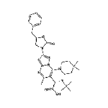 Cc1nc2cc(N3CC(Cc4ccccc4)OC3=O)nn2c(N2CCC(C)(C)CC2)c1[C@H](OC(C)(C)C)C(=O)O